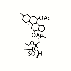 CC(=O)OC1CC2CC(C)CCC2(C)C2CC(OC(C)=O)C3(C)C(C(C)CCC(=O)OC(C)C(F)(F)S(=O)(=O)O)CCC3C12